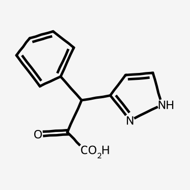 O=C(O)C(=O)C(c1ccccc1)c1cc[nH]n1